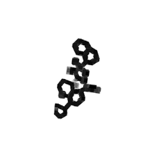 COc1ccc(C2CCCC2)c2c1[C@@H](C(=O)NS(=O)(=O)c1cccc3ccccc13)CCO2